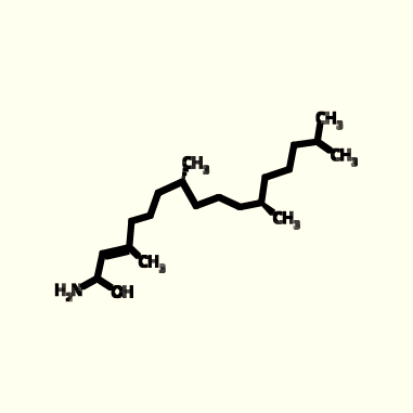 C/C(=C\C(N)O)CCC[C@H](C)CCC[C@H](C)CCCC(C)C